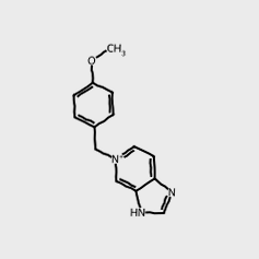 COc1ccc(C[n+]2ccc3nc[nH]c3c2)cc1